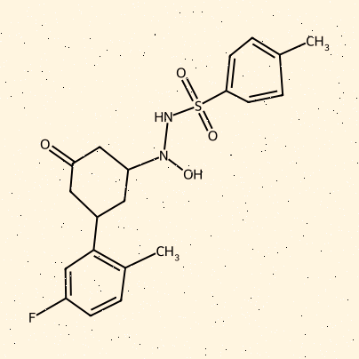 Cc1ccc(S(=O)(=O)NN(O)C2CC(=O)CC(c3cc(F)ccc3C)C2)cc1